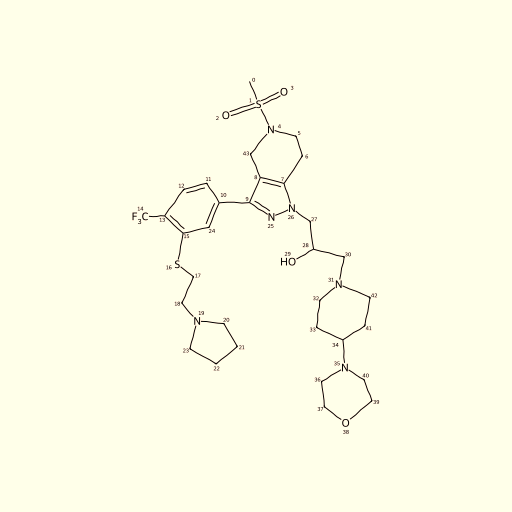 CS(=O)(=O)N1CCc2c(c(-c3ccc(C(F)(F)F)c(SCCN4CCCC4)c3)nn2CC(O)CN2CCC(N3CCOCC3)CC2)C1